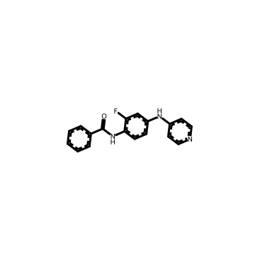 O=C(Nc1ccc(Nc2ccncc2)cc1F)c1ccccc1